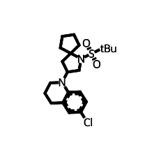 CC(C)(C)S(=O)(=O)N1CC(N2CCCc3cc(Cl)ccc32)CC12CCCC2